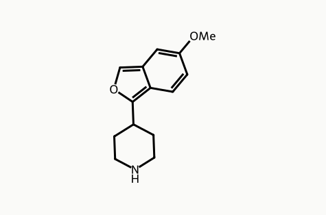 COc1ccc2c(C3CCNCC3)occ2c1